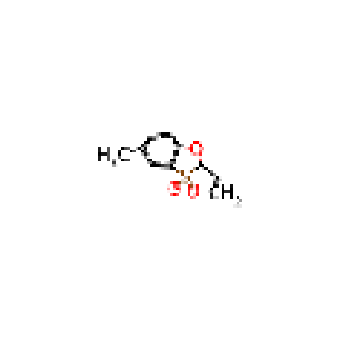 C=CC1Oc2ccc(C)cc2S1(=O)=O